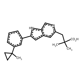 CC(C)(Cc1cc2cc(-c3cccc(C4(C)CC4)c3)[nH]c2cn1)C(=O)O